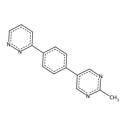 Cc1ncc(-c2ccc(-c3cccnn3)cc2)cn1